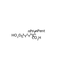 CCCCCC(CCC)CC(CCCCCCC(=O)O)C(=O)O